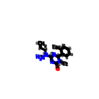 C=CCN(N)c1nc(-c2ccccc2CC)n(CC)c(=O)n1